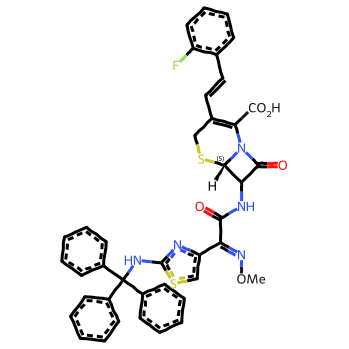 CON=C(C(=O)NC1C(=O)N2C(C(=O)O)=C(C=Cc3ccccc3F)CS[C@@H]12)c1csc(NC(c2ccccc2)(c2ccccc2)c2ccccc2)n1